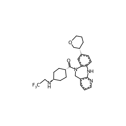 O=C([C@H]1CC[C@H](NCC(F)(F)F)CC1)N1Cc2cccnc2Nc2ccc([C@H]3CCCOC3)cc21